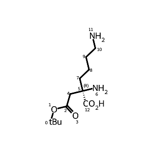 CC(C)(C)OC(=O)C[C@](N)(CCCCN)C(=O)O